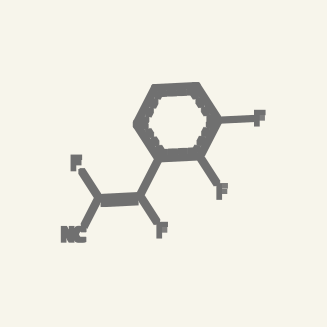 N#CC(F)=C(F)c1cccc(F)c1F